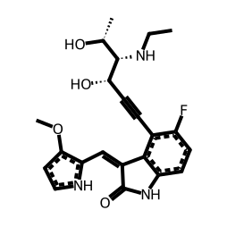 CCN[C@@H]([C@@H](C)O)[C@@H](O)C#Cc1c(F)ccc2c1/C(=C/c1[nH]ccc1OC)C(=O)N2